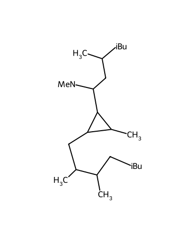 CCC(C)CC(C)C(C)CC1C(C)C1C(CC(C)C(C)CC)NC